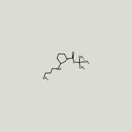 CCCCNC1CCCN(C(=O)OC(C)(C)C)C1